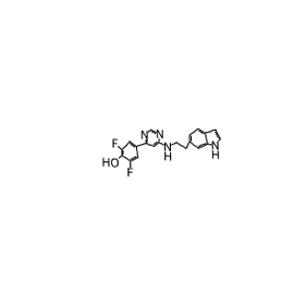 Oc1c(F)cc(-c2cc(NCCc3ccc4cc[nH]c4c3)ncn2)cc1F